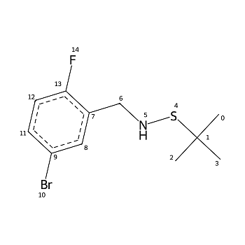 CC(C)(C)SNCc1cc(Br)ccc1F